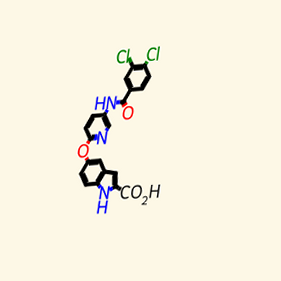 O=C(Nc1ccc(Oc2ccc3[nH]c(C(=O)O)cc3c2)nc1)c1ccc(Cl)c(Cl)c1